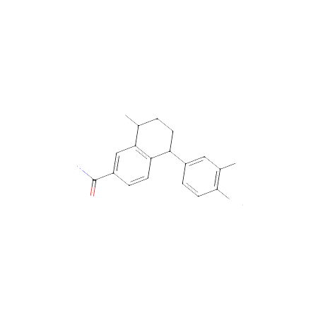 Cc1ccc(C2CCC(C(C)C)c3cc(C(N)=O)ccc32)cc1C